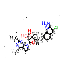 Cc1nc(C)c2ccn([C@@H]3O[C@@H]4[C@H](Cc5ccc6cc(Cl)c(N)nc6c5)CC[C@]4(O)[C@H]3O)c2n1